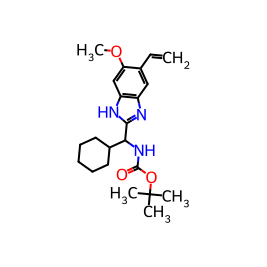 C=Cc1cc2nc(C(NC(=O)OC(C)(C)C)C3CCCCC3)[nH]c2cc1OC